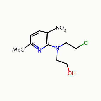 COc1ccc([N+](=O)[O-])c(N(CCO)CCCl)n1